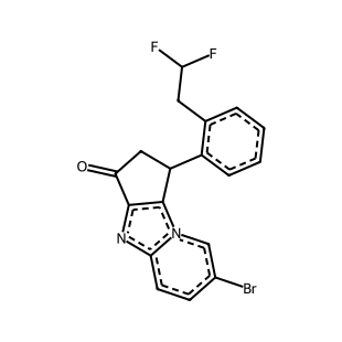 O=C1CC(c2ccccc2CC(F)F)c2c1nc1ccc(Br)cn21